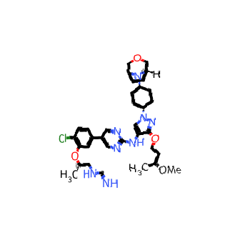 COC(C)CCOc1nn([C@H]2CC[C@H](N3C4CC[C@H]3COC4)CC2)cc1Nc1ncc(-c2ccc(Cl)c(O[C@@H](C)CNC=N)c2)cn1